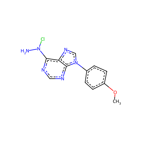 COc1ccc(-n2cnc3c(N(N)Cl)ncnc32)cc1